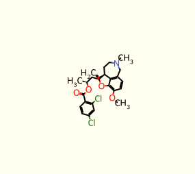 C=C[C@@]12CCN(C)Cc3ccc(OC)c(c31)OC2C[C@H](C)OC(=O)c1ccc(Cl)cc1Cl